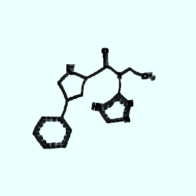 CCN(C(=O)C1CC(c2ccccc2)CN1)c1nnc[nH]1